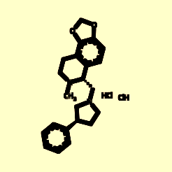 CN1CCc2c(ccc3c2OCO3)[C@@H]1CN1CC[C@@H](c2ccccc2)C1.Cl.Cl